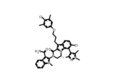 Cc1cc(OCCCc2c3n(c4c(-c5c(C)nn(C)c5C)c(Cl)ccc24)[C@H](C)CN(c2c(C(N)=O)c4ccccc4n2C)C3=O)cc(C)c1Cl